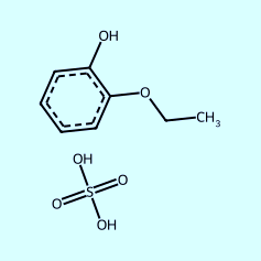 CCOc1ccccc1O.O=S(=O)(O)O